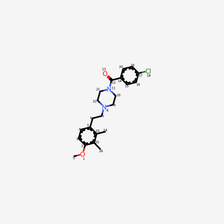 COc1ccc(CCN2CCN(C(=O)c3ccc(Cl)cc3)CC2)c(C)c1C